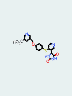 O=C1NC(=O)C(c2cnccc2Sc2ccc(OCc3cncc(C(=O)O)c3)cc2)N1